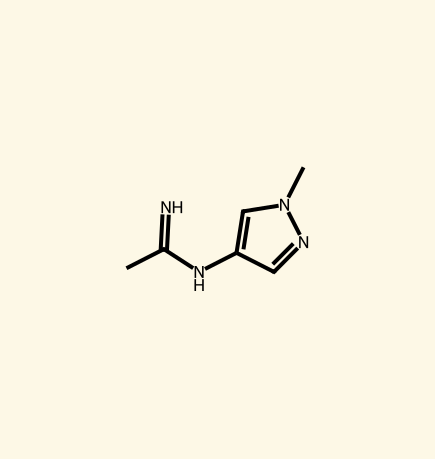 CC(=N)Nc1cnn(C)c1